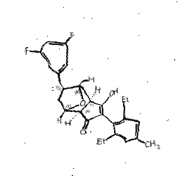 CCc1cc(C)cc(CC)c1C1=C(O)[C@@H]2[C@@H]3O[C@@H](C[C@H]3c3cc(F)cc(F)c3)[C@@H]2C1=O